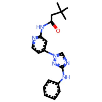 CC(C)(C)CC(=O)Nc1cc(-n2cnc(Nc3ccccc3)n2)ccn1